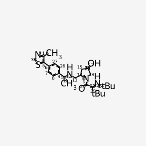 Cc1ncsc1-c1ccc(C(C)NCC2C[C@@H](O)CN2C(=O)C(NC(C)(C)C)C(C)(C)C)cc1